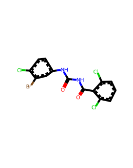 O=C(NC(=O)c1c(Cl)cccc1Cl)Nc1ccc(Cl)c(Br)c1